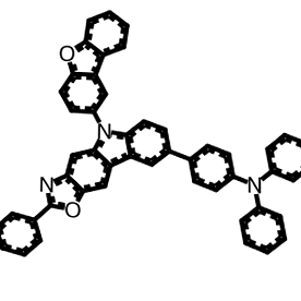 c1ccc(-c2nc3cc4c(cc3o2)c2cc(-c3ccc(N(c5ccccc5)c5ccccc5)cc3)ccc2n4-c2ccc3oc4ccccc4c3c2)cc1